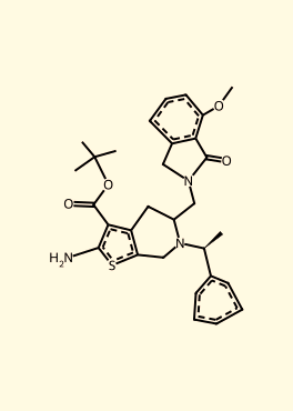 COc1cccc2c1C(=O)N(CC1Cc3c(sc(N)c3C(=O)OC(C)(C)C)CN1[C@@H](C)c1ccccc1)C2